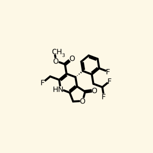 COC(=O)C1=C(CF)NC2=C(C(=O)OC2)[C@H]1c1cccc(F)c1CC(F)F